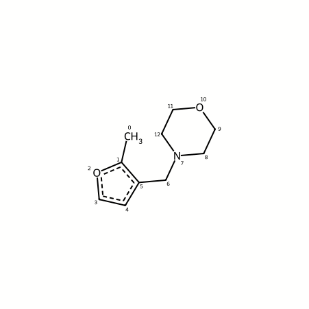 Cc1occc1CN1CCOCC1